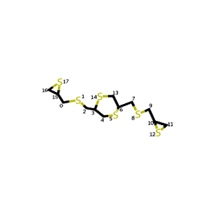 C(SCC1CSC(CSCC2CS2)CS1)C1CS1